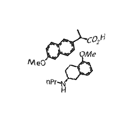 CCCN[C@H]1CCc2c(cccc2OC)C1.COc1ccc2cc([C@@H](C)C(=O)O)ccc2c1